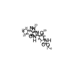 CCOC(=O)Nc1ccc(-c2nc3c(c(C4CCCCC4)nn3C)c(=O)[nH]2)c(OC)c1